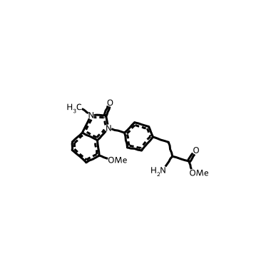 COC(=O)C(N)Cc1ccc(-n2c(=O)n(C)c3cccc(OC)c32)cc1